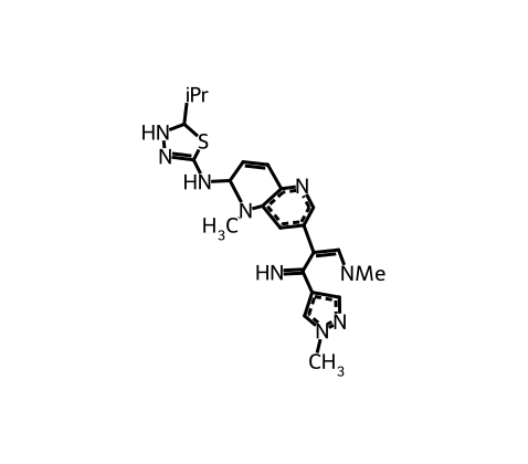 CN/C=C(\C(=N)c1cnn(C)c1)c1cnc2c(c1)N(C)C(NC1=NNC(C(C)C)S1)C=C2